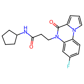 O=C(CCn1c(=O)c2cccn2c2ccc(F)cc21)NC1CCCC1